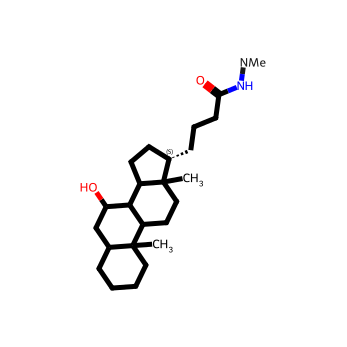 CNNC(=O)CCC[C@H]1CCC2C3C(O)CC4CCCCC4(C)C3CCC21C